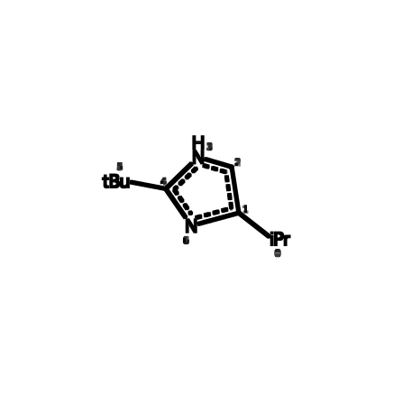 CC(C)c1c[nH]c(C(C)(C)C)n1